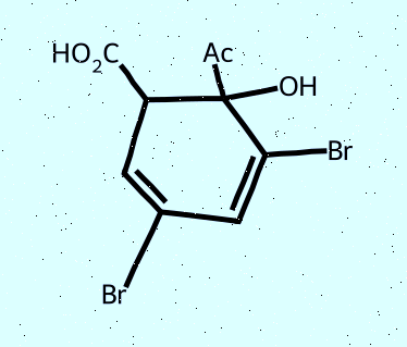 CC(=O)C1(O)C(Br)=CC(Br)=CC1C(=O)O